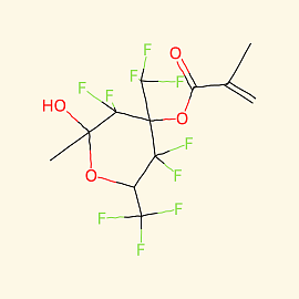 C=C(C)C(=O)OC1(C(F)(F)F)C(F)(F)C(C(F)(F)F)OC(C)(O)C1(F)F